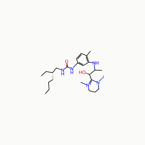 CCCC[C@H](CC)CNC(=O)Nc1ccc(C)c(NC(C)C(O)C2=[N+](C)CCCN2I)c1